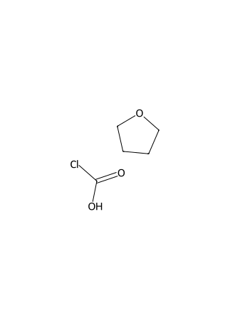 C1CCOC1.O=C(O)Cl